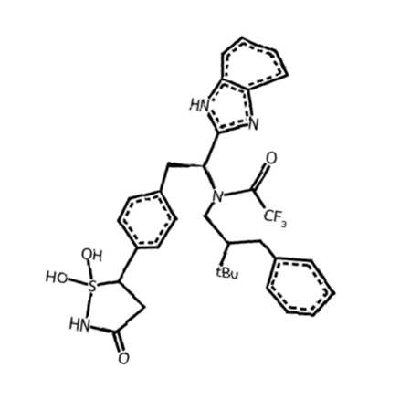 CC(C)(C)C(Cc1ccccc1)CN(C(=O)C(F)(F)F)[C@@H](Cc1ccc(C2CC(=O)NS2(O)O)cc1)c1nc2ccccc2[nH]1